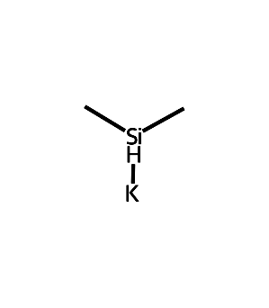 C[SiH](C)[K]